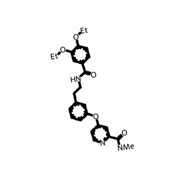 CCOc1ccc(C(=O)NCCc2cccc(Oc3ccnc(C(=O)NC)c3)c2)cc1OCC